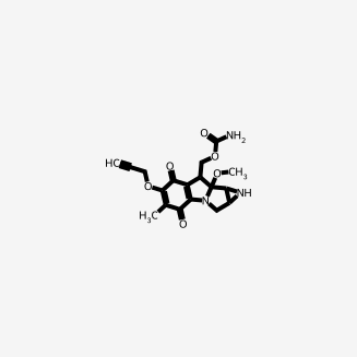 C#CCOC1=C(C)C(=O)C2=C(C1=O)C(COC(N)=O)C1(OC)C3NC3CN21